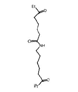 CCC(=O)CCCCC(=O)NCCCCCC(=O)C(C)C